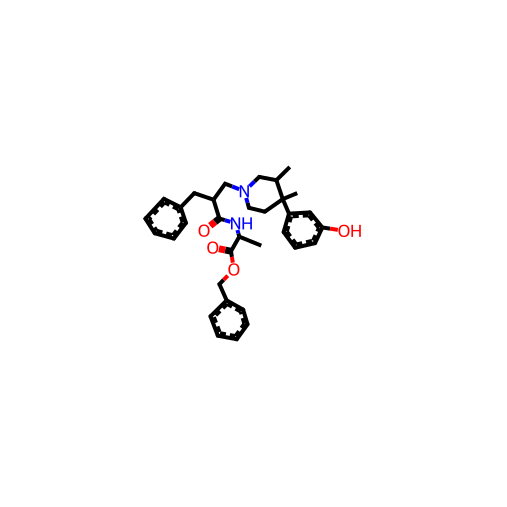 CC(NC(=O)C(Cc1ccccc1)CN1CCC(C)(c2cccc(O)c2)C(C)C1)C(=O)OCc1ccccc1